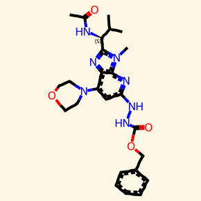 CC(=O)N[C@H](c1nc2c(N3CCOCC3)cc(NNC(=O)OCc3ccccc3)nc2n1C)C(C)C